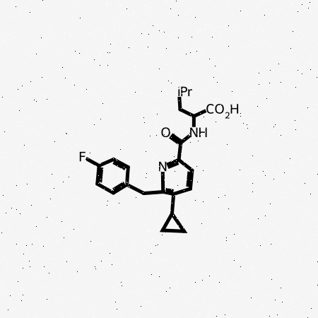 CC(C)CC(NC(=O)c1ccc(C2CC2)c(Cc2ccc(F)cc2)n1)C(=O)O